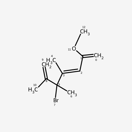 C=C(/C=C(\C)C(C)(Br)C(=C)C)OC